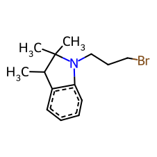 CC1c2ccccc2N(CCCBr)C1(C)C